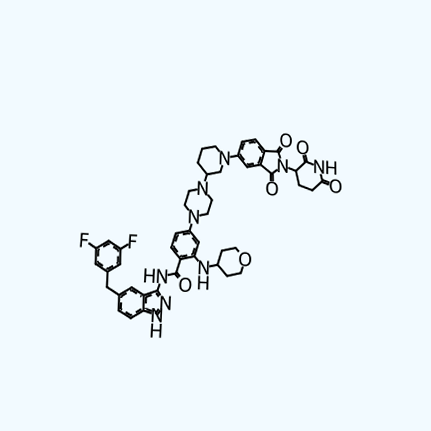 O=C1CCC(N2C(=O)c3ccc(N4CCCC(N5CCN(c6ccc(C(=O)Nc7n[nH]c8ccc(Cc9cc(F)cc(F)c9)cc78)c(NC7CCOCC7)c6)CC5)C4)cc3C2=O)C(=O)N1